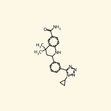 CC1(C)CC(c2cccc(-c3nnnn3C3CC3)c2)Nc2ccc(C(N)=O)cc21